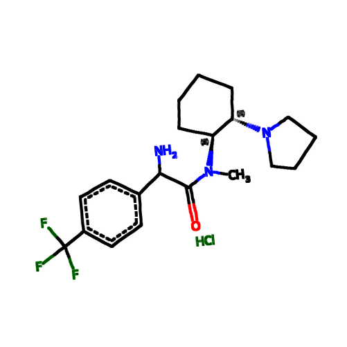 CN(C(=O)C(N)c1ccc(C(F)(F)F)cc1)[C@H]1CCCC[C@@H]1N1CCCC1.Cl